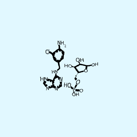 Nc1ccc(CNc2ncnc3nc[nH]c23)cc1Cl.O=P(O)(O)OC[C@H]1OC(O)[C@H](O)[C@@H]1O